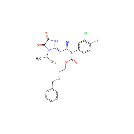 CC(C)N1C(=O)C(=O)NC1=NC(=N)N(C(=O)OCCOCc1ccccc1)c1ccc(Cl)c(Cl)c1